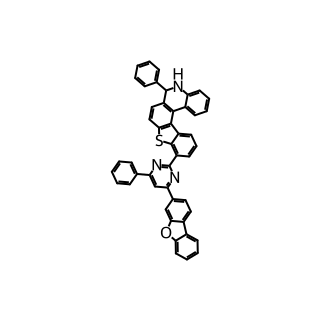 c1ccc(-c2cc(-c3ccc4c(c3)oc3ccccc34)nc(-c3cccc4c3sc3ccc5c(c34)-c3ccccc3NC5c3ccccc3)n2)cc1